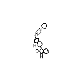 O=C1Nc2ccccc2C1=C1C=Cc2cc(CN3CCN(C4CCCCC4)CC3)ccc2N1